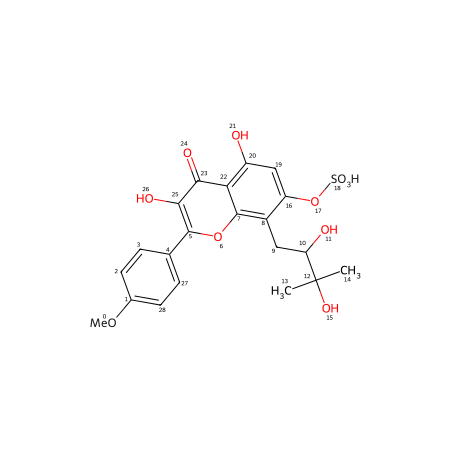 COc1ccc(-c2oc3c(CC(O)C(C)(C)O)c(OS(=O)(=O)O)cc(O)c3c(=O)c2O)cc1